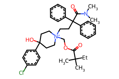 CCC(C)(C)C(=O)OC[N+]1(CCC(C(=O)N(C)C)(c2ccccc2)c2ccccc2)CCC(O)(c2ccc(Cl)cc2)CC1